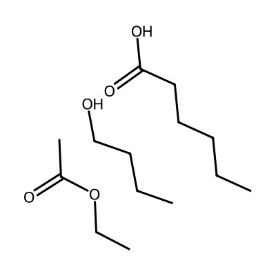 CCCCCC(=O)O.CCCCO.CCOC(C)=O